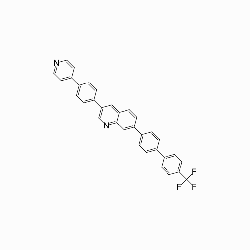 FC(F)(F)c1ccc(-c2ccc(-c3ccc4cc(-c5ccc(-c6ccncc6)cc5)cnc4c3)cc2)cc1